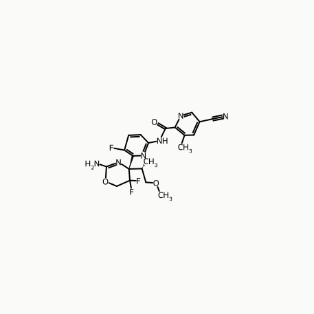 COC[C@@H](C)[C@@]1(c2nc(NC(=O)c3ncc(C#N)cc3C)ccc2F)N=C(N)OCC1(F)F